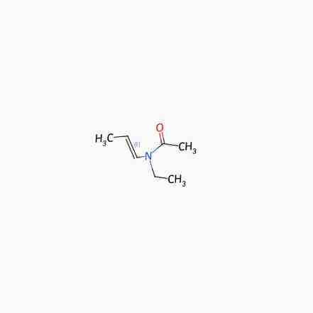 C/C=C/N(CC)C(C)=O